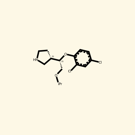 CC(C)OC[C@@H](Oc1ccc(Cl)cc1Cl)[C@H]1CCNC1